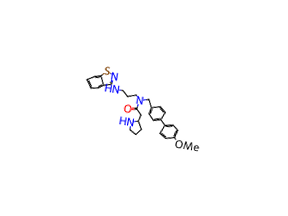 COc1ccc(-c2ccc(CN(CCCNc3nsc4ccccc34)C(=O)CC3CCCN3)cc2)cc1